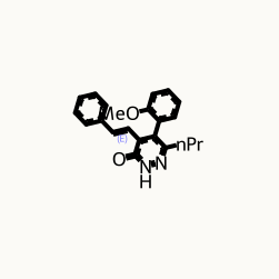 CCCc1n[nH]c(=O)c(/C=C/c2ccccc2)c1-c1ccccc1OC